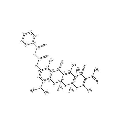 CC(=O)C1=C(C)C[C@@]2(C)C[C@@]3(C)Cc4c(C(C)C)cc(CC(=O)CC(=O)c5ccccc5)c(O)c4C(=O)C3=C(O)[C@@]2(O)C1=O